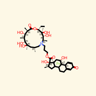 CC[C@H]1OC(=O)[C@H](C)[C@@H](O)[C@H](C)[C@@H](O)[C@](C)(O)C[C@@H](C)CN(CCCOC(=O)[C@@]2(O)[C@H](C)CC3C4CCC5=CC(=O)C=C[C@]5(C)[C@@]4(F)[C@@H](O)C[C@@]32C)[C@H](C)[C@@H](O)[C@]1(C)O